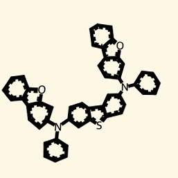 c1ccc(N(c2ccc3c(c2)oc2ccccc23)c2ccc3c(c2)sc2ccc(N(c4ccccc4)c4ccc5c(c4)oc4ccccc45)cc23)cc1